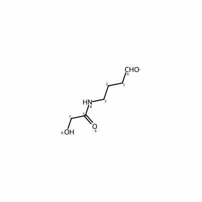 O=[C]CCCNC(=O)CO